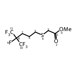 COC(=O)CSCCCC(F)(C(F)(F)F)C(F)(F)F